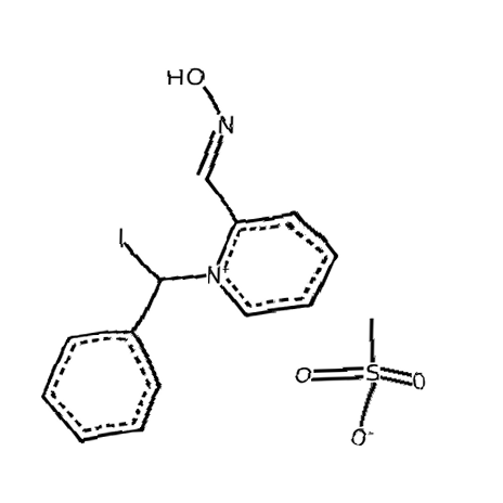 CS(=O)(=O)[O-].ON=Cc1cccc[n+]1C(I)c1ccccc1